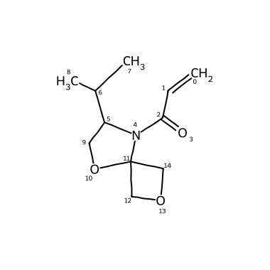 C=CC(=O)N1C(C(C)C)COC12COC2